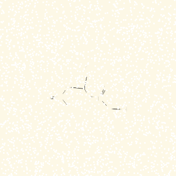 CC(O[PH](=O)[O-])O[PH](=O)OO.[K+]